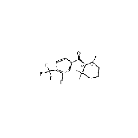 C[C@H]1CCCC(C)(C)[C@H]1C(=O)c1ccc(C(F)(F)F)c(F)c1